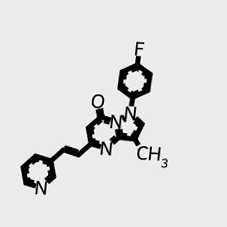 Cc1cn(-c2ccc(F)cc2)n2c(=O)cc(/C=C/c3cccnc3)nc12